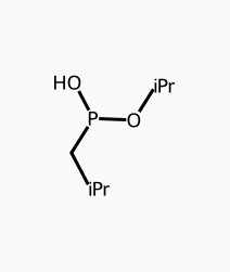 CC(C)CP(O)OC(C)C